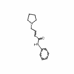 O=C(C=CCN1CCCC1)Nc1c[c]ccc1